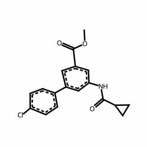 COC(=O)c1cc(NC(=O)C2CC2)cc(-c2ccc(Cl)cc2)c1